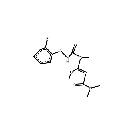 COC(=NC(=O)N(C)C)N(C)C(=O)NSc1ccccc1F